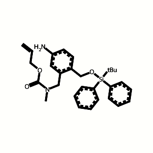 C=CCOC(=O)N(C)Cc1cc(N)ccc1CO[Si](c1ccccc1)(c1ccccc1)C(C)(C)C